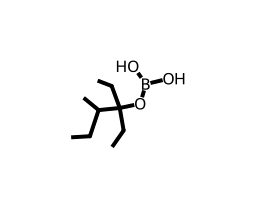 CCC(C)C(CC)(CC)OB(O)O